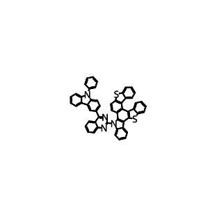 c1ccc(-n2c3ccccc3c3cc(-c4nc(-n5c6ccccc6c6c7sc8ccccc8c7c7c(ccc8sc9ccccc9c87)c65)nc5ccccc45)ccc32)cc1